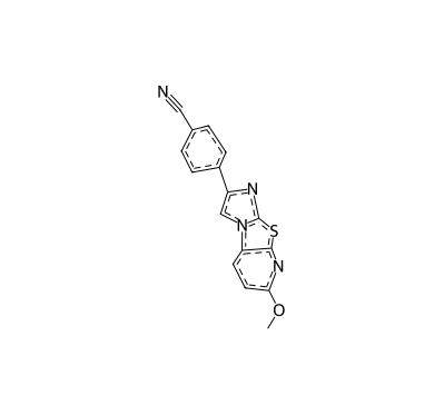 COc1ccc2c(n1)sc1nc(-c3ccc(C#N)cc3)cn12